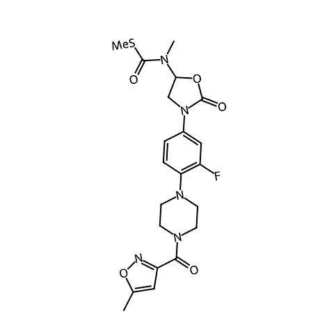 CSC(=O)N(C)C1CN(c2ccc(N3CCN(C(=O)c4cc(C)on4)CC3)c(F)c2)C(=O)O1